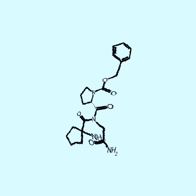 NC(=O)CN(C(=O)[C@@H]1CCCN1C(=O)OCc1ccccc1)C(=O)C1(N)CCCC1